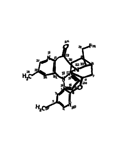 Cc1ccc(OC2CC3CCC2N(C(=O)c2ncc(C)cc2-n2nccn2)C3CF)nc1